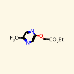 CCOC(=O)COc1cnc(C(F)(F)F)cn1